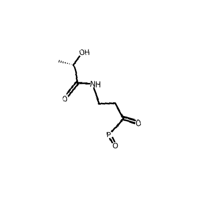 C[C@H](O)C(=O)NCCC(=O)P=O